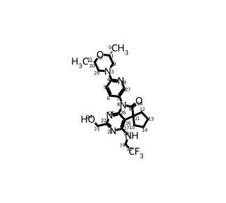 C[C@@H]1CN(c2ccc(N3C(=O)C4(CCCC4)c4c(NCC(F)(F)F)nc(CO)nc43)cn2)C[C@H](C)O1